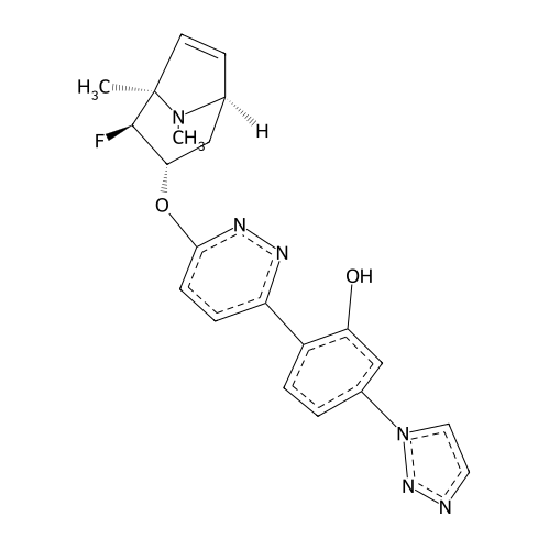 CN1[C@H]2C=C[C@]1(C)[C@H](F)[C@@H](Oc1ccc(-c3ccc(-n4ccnn4)cc3O)nn1)C2